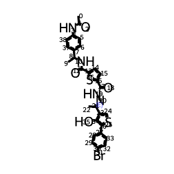 CC(=O)Nc1ccc(C(C)NC(=O)c2ccc(C(=O)N/N=C(\C)c3csc(-c4ccc(Br)cc4)c3O)s2)cc1